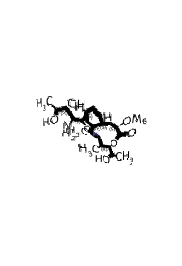 CO[C@H]1C[C@H]2C=C[C@@H]3C[C@]2(O[C@H]3[C@@H](N)[C@H](C)[C@H](C)O)/C(C)=C/[C@@H](C)[C@@H]([C@@H](C)O)OC1=O